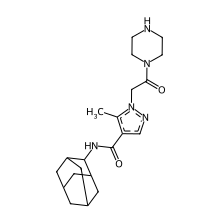 Cc1c(C(=O)NC2C3CC4CC(C3)CC2C4)cnn1CC(=O)N1CCNCC1